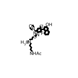 CC(=O)NCCCCCN(C)CCCOc1nc(N2CCOCC2)c2cc(Cl)c(-c3cc(O)cc4ccccc34)c(F)c2n1